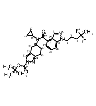 CC(F)(F)CCCn1ncc2c(C(=O)N(C3CC3)C3CCc4nn(C(=O)OC(C)(C)C)cc4C3)cccc21